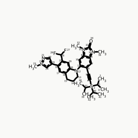 CC(C)S(C#Cc1cc2c(cc1N1CCCc3cc(-c4cnn(C)c4)c(C(F)F)cc31)n(C)c(=O)n2C)(C(C)C)C(C)C